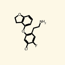 NCCc1cc(F)c(Cl)cc1Oc1cccc2c1CCO2